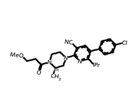 COCCC(=O)N1CCN(c2nc(C(C)C)c(-c3ccc(Cl)cc3)cc2C#N)C[C@H]1C